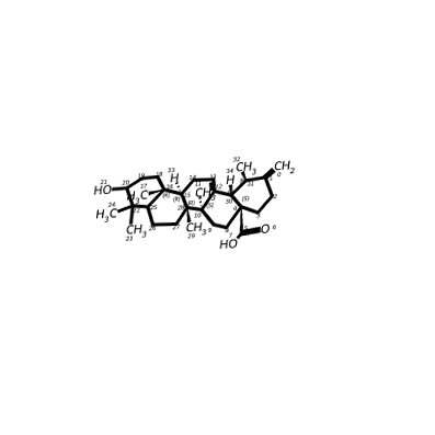 C=C1CC[C@]2(C(=O)O)CC[C@]3(C)C(=CC[C@@H]4[C@@]5(C)CCC(O)C(C)(C)C5CC[C@]43C)[C@@H]2[C@H]1C